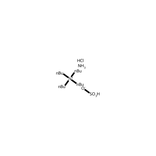 CCCC[N+](CCCC)(CCCC)CCCC.Cl.N.O=S(=O)([O-])O